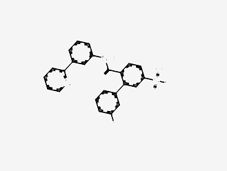 CCc1cccc(-c2cc(S(C)(=O)=O)ccc2C(=O)Nc2cccc(-c3ccccn3)c2)c1